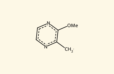 [CH2]c1nccnc1OC